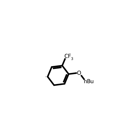 CCCCOC1=CC[CH]C=C1C(F)(F)F